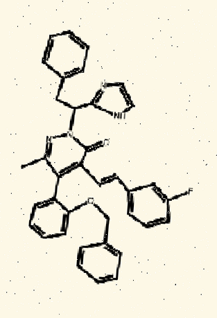 Cc1nn(C(Cc2ccccc2)c2ncc[nH]2)c(=O)c(C=Cc2cccc(F)c2)c1-c1ccccc1OCc1ccccc1